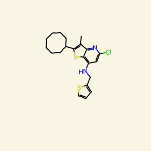 Cc1c(C2CCCCCCC2)sc2c(NCc3cccs3)cc(Cl)nc12